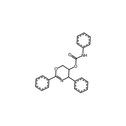 O=C(Nc1ccccc1)OC1COC(c2ccccc2)=NC1c1ccccc1